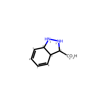 O=C(O)C1NNC2C=CC=CC21